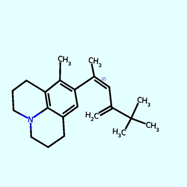 C=C(/C=C(/C)c1cc2c3c(c1C)CCCN3CCC2)C(C)(C)C